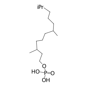 CC(C)CCCC(C)CCCC(C)CCOP(=O)(O)O